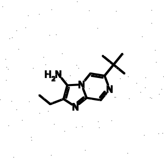 CCc1nc2cnc(C(C)(C)C)cn2c1N